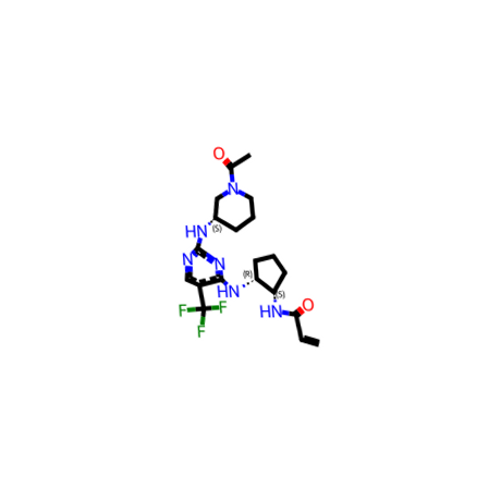 C=CC(=O)N[C@H]1CCC[C@H]1Nc1nc(N[C@H]2CCCN(C(C)=O)C2)ncc1C(F)(F)F